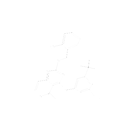 Cc1cc(Nc2nc(NCc3ccccc3N)nc3cc[nH]c(=O)c23)cc(C(F)(F)F)c1